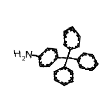 Nc1ccc(C(c2ccccc2)(c2ccccc2)c2ccccc2)cc1